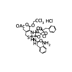 CC(=O)OCC1=C(C(=O)OCC(Cl)(Cl)Cl)N2C(=O)[C@@](NC(=O)Cc3ccccc3N)(OC(Cl)(I=O)S(=O)(=O)Cc3ccccc3)[C@H]2SC1.Cl